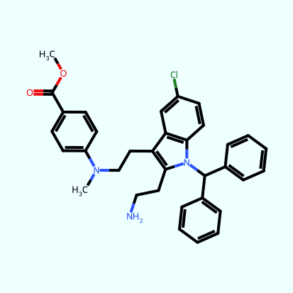 COC(=O)c1ccc(N(C)CCc2c(CCN)n(C(c3ccccc3)c3ccccc3)c3ccc(Cl)cc23)cc1